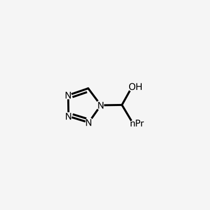 CCCC(O)n1cnnn1